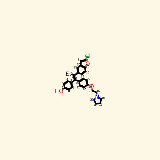 CCC(=C(c1ccc(O)cc1)c1ccc(OCCN2CCCC2)cc1)c1ccc2oc(Cl)cc2c1